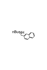 [CH2]CCCNCc1ccc2ccccc2c1